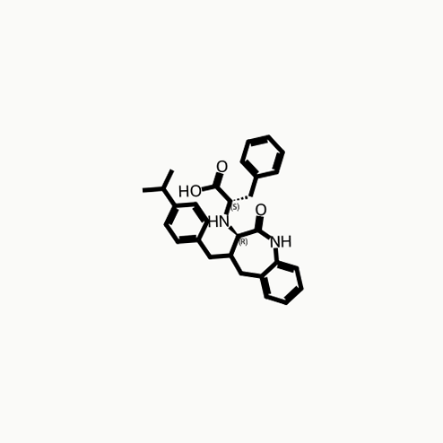 CC(C)c1ccc(CC2Cc3ccccc3NC(=O)[C@@H]2N[C@@H](Cc2ccccc2)C(=O)O)cc1